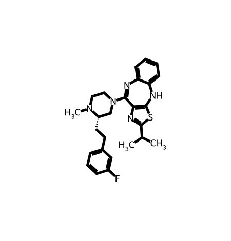 CC(C)c1nc2c(s1)Nc1ccccc1N=C2N1CCN(C)[C@@H](CCc2cccc(F)c2)C1